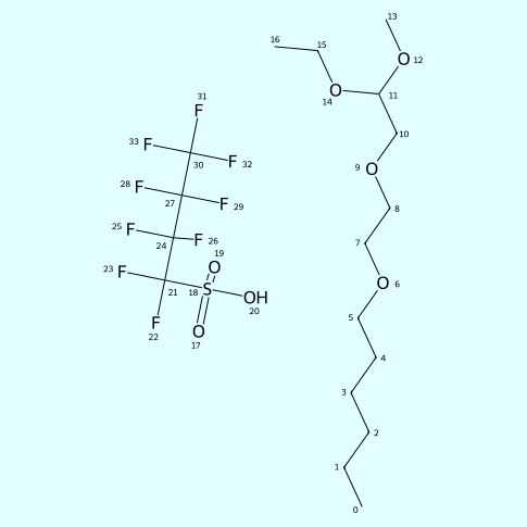 CCCCCCOCCOCC(OC)OCC.O=S(=O)(O)C(F)(F)C(F)(F)C(F)(F)C(F)(F)F